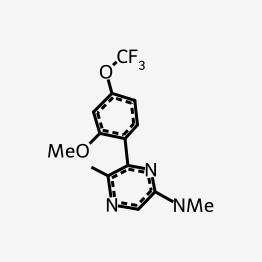 CNc1cnc(C)c(-c2ccc(OC(F)(F)F)cc2OC)n1